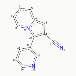 N#Cc1cc2ccccn2c1-c1cccnc1